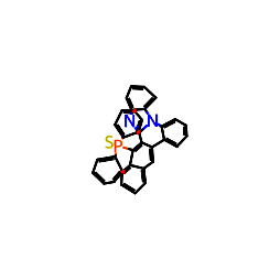 S=P(c1ccccc1)(c1ccccc1)c1c2ccccc2cc2c3ccccc3n3c4ccccc4nc3c12